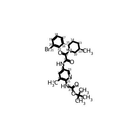 Cc1cc(NC(=O)C(=O)N2C[C@H](C)CC[C@H]2c2cccc(Br)c2)cnc1NC(=O)OC(C)(C)C